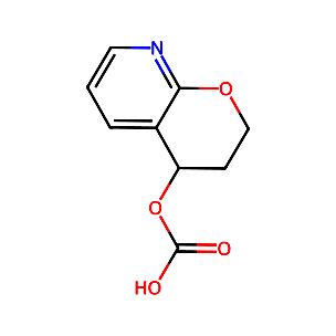 O=C(O)OC1CCOc2ncccc21